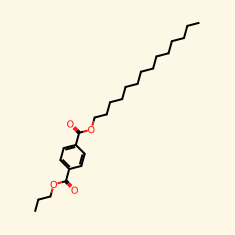 CCCCCCCCCCCCCCOC(=O)c1ccc(C(=O)OCCC)cc1